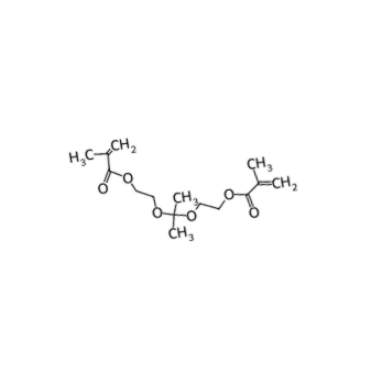 C=C(C)C(=O)OCCOC(C)(C)OCCOC(=O)C(=C)C